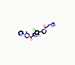 CC1CN(C(=O)c2cc3c(Cl)cc(C4=CCCN(C(=O)CCn5ccnn5)C4)c(F)c3[nH]2)CCN1c1ccccn1